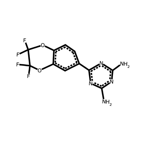 Nc1nc(N)nc(-c2ccc3c(c2)OC(F)(F)C(F)(F)O3)n1